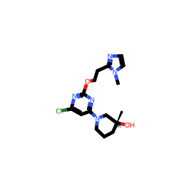 Cn1ccnc1CCOc1nc(Cl)cc(N2CCC[C@@](C)(O)C2)n1